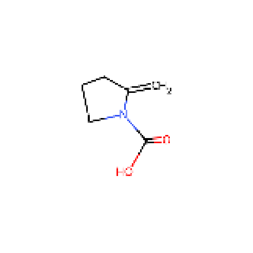 C=C1CCCN1C(=O)O